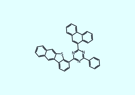 c1ccc(-c2nc(-c3cc4ccccc4c4ccccc34)nc(-c3cccc4c3sc3cc5ccccc5cc34)n2)cc1